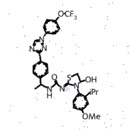 COc1ccc(N2/C(=N/C(=O)NC(C)c3ccc(-c4ncn(-c5ccc(OC(F)(F)F)cc5)n4)cc3)SCC2O)c(C(C)C)c1